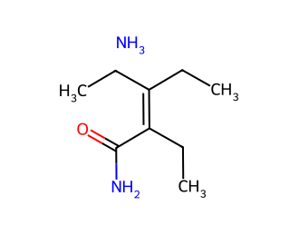 CCC(CC)=C(CC)C(N)=O.N